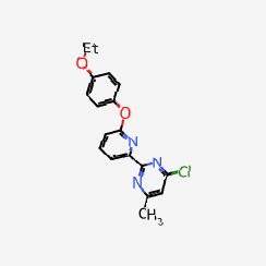 CCOc1ccc(Oc2cccc(-c3nc(C)cc(Cl)n3)n2)cc1